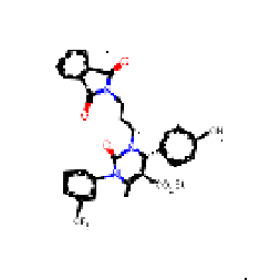 CCOC(=O)C1=C(C)N(c2cccc(C(F)(F)F)c2)C(=O)N(CCCN2C(=O)c3ccccc3C2=O)[C@@H]1c1ccc(C#N)cc1